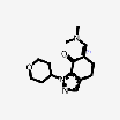 CN(C)/C=C1/CCc2cnn(C3CCOCC3)c2C1=O